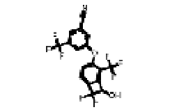 N#Cc1cc(OC2=C=C=C3C(=C2C(F)(F)F)C(O)C3(F)F)cc(C(F)(F)F)c1